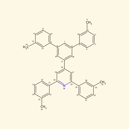 Cc1cccc(-c2cc(-c3cccc(C)c3)cc(-c3cc(-c4cccc(C)c4)nc(-c4cccc(C)c4)c3)c2)c1